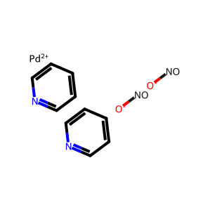 O=N[O-].O=N[O-].[Pd+2].c1ccncc1.c1ccncc1